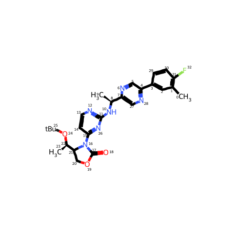 Cc1cc(-c2cnc([C@H](C)Nc3nccc(N4C(=O)OCC4[C@@H](C)OC(C)(C)C)n3)cn2)ccc1F